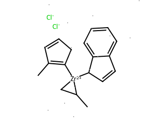 CC1=[C]([Zr+2]2([CH]3C=Cc4ccccc43)[CH2][CH]2C)CC=C1.[Cl-].[Cl-]